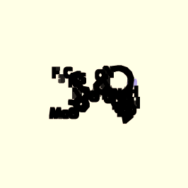 COc1ccc2c(O[C@H]3CCN4C(=O)N(C)CCCC/C=C\[C@@H]5C[C@@]5(C(=O)NS(=O)(=O)C5(C)CC5)NC(=O)[C@@H]4C3)cc(-c3nc(C(F)(F)F)cs3)nc2c1C